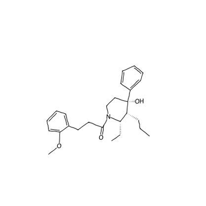 CCC[C@@H]1[C@H](CC)N(C(=O)CCc2ccccc2OC)CC[C@@]1(O)c1ccccc1